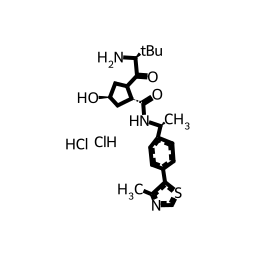 Cc1ncsc1-c1ccc([C@@H](C)NC(=O)[C@@H]2C[C@@H](O)CC2C(=O)[C@@H](N)C(C)(C)C)cc1.Cl.Cl